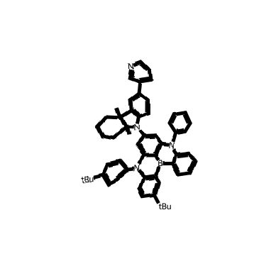 CC(C)(C)c1ccc(N2c3ccc(C(C)(C)C)cc3B3c4ccccc4N(c4ccccc4)c4cc(N5c6ccc(-c7cccnc7)cc6C6(C)CCCCC56C)cc2c43)cc1